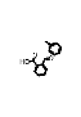 Cc1ccccc1.O=Cc1ccccc1C(=O)O